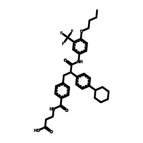 CCCCOc1ccc(NC(=O)C(Cc2ccc(C(=O)NCCC(=O)O)cc2)c2ccc(C3CCCCC3)cc2)cc1C(F)(F)F